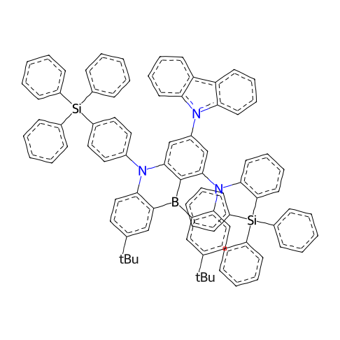 CC(C)(C)c1ccc2c(c1)B1c3cc(C(C)(C)C)ccc3N(c3ccccc3[Si](c3ccccc3)(c3ccccc3)c3ccccc3)c3cc(-n4c5ccccc5c5ccccc54)cc(c31)N2c1ccc([Si](c2ccccc2)(c2ccccc2)c2ccccc2)cc1